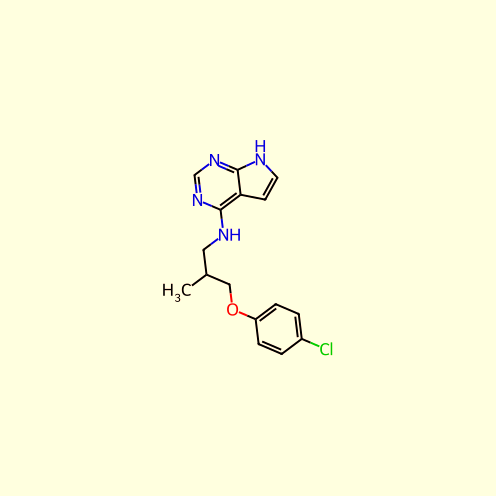 CC(CNc1ncnc2[nH]ccc12)COc1ccc(Cl)cc1